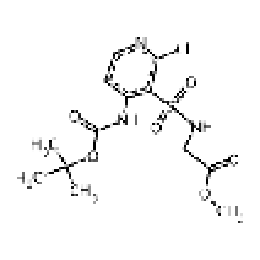 COC(=O)CNS(=O)(=O)c1c(NC(=O)OC(C)(C)C)ccnc1Cl